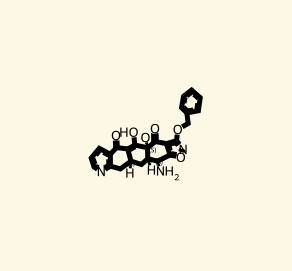 N[C@@H]1c2onc(OCc3ccccc3)c2C(=O)[C@@]2(O)C(O)=C3C(=O)c4cccnc4C[C@H]3C[C@@H]12